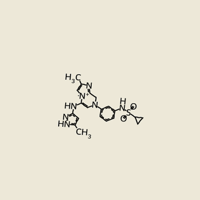 CC1=C[N+]2C(Nc3cc(C)[nH]n3)=CN(c3cccc(NS(=O)(=O)C4CC4)c3)CC2=N1